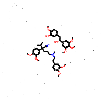 COc1ccc(CCN(C)CCCC(C#N)(c2ccc(OC)c(OC)c2)C(C)C)cc1OC.COc1ccc(C[C@@H](O)c2cc(OC)c(OC)c(OC)c2)cc1O